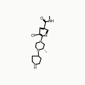 CNC(=O)c1cnc(N2CCN(C3CCNCC3)[C@@H](C)C2)c(Cl)c1